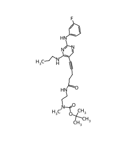 CCCNc1nc(Nc2cccc(F)c2)ncc1C#CCCC(=O)NCCN(C)C(=O)OC(C)(C)C